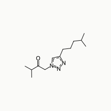 CC(C)CCCc1cn(CC(=O)C(C)C)nn1